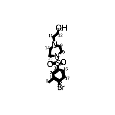 Cc1cc(S(=O)(=O)N2CCN(CCO)CC2)ccc1Br